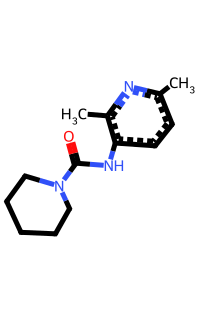 Cc1ccc(NC(=O)N2CCCCC2)c(C)n1